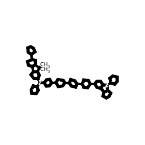 CC1(C)c2cc(-c3ccccc3)ccc2-c2ccc(N(c3ccccc3)c3ccc(-c4ccc(-c5ccc(-c6ccc(-c7ccc8c(c7)c7ccccc7n8-c7ccccc7)cc6)cc5)cc4)cc3)cc21